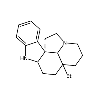 CCC12CCCN3CC[C@]4(c5ccccc5NC4CC1)C32